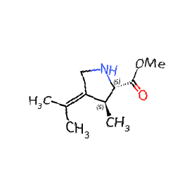 COC(=O)[C@H]1NCC(=C(C)C)[C@@H]1C